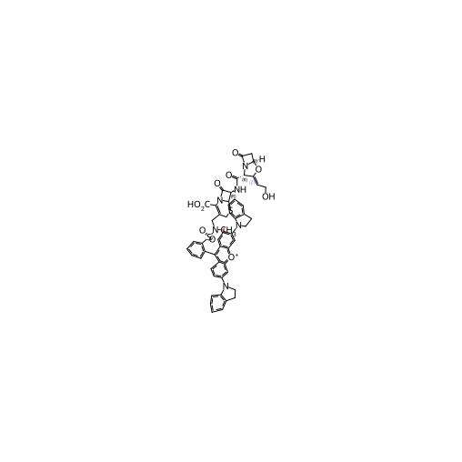 CN(CC1=C(C(=O)O)N2C(=O)[C@@H](NC(=O)[C@H]3/C(=C/CO)O[C@@H]4CC(=O)N43)C2SC1)S(=O)(=O)c1ccccc1-c1c2ccc(N3CCc4ccccc43)cc2[o+]c2cc(N3CCc4ccccc43)ccc12